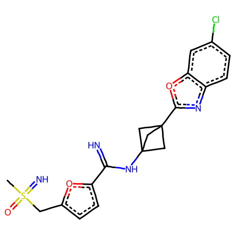 CS(=N)(=O)Cc1ccc(C(=N)NC23CC(c4nc5ccc(Cl)cc5o4)(C2)C3)o1